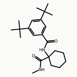 CNC(=O)C1(NC(=O)c2cc(C(C)(C)C)cc(C(C)(C)C)c2)CCCCC1